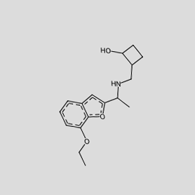 CCOc1cccc2cc(C(C)NCC3CCC3O)oc12